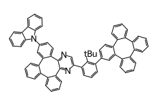 CC(C)(C)c1c(-c2ccc3c(c2)-c2ccccc2-c2ccccc2-c2ccccc2-3)cccc1-c1cnc2c(n1)-c1ccccc1-c1ccccc1-c1cc(-n3c4ccccc4c4ccccc43)ccc1-2